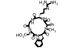 CC(C)C1C(=O)N[C@@H](CCCN=C(N)N)C(=O)NCC(=O)N[C@@H](CC(=O)O)C(=O)N[C@H](Cc2ccccc2)C(=O)N1C